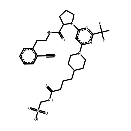 N#Cc1ccccc1CCNC(=O)C1CCCN1c1cc(N2CCC(CCCC(=O)NCS(=O)(=O)O)CC2)nc(C(F)(F)F)n1